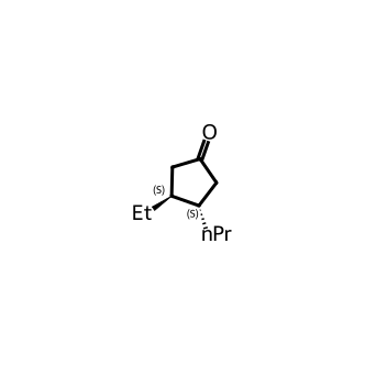 CCC[C@H]1CC(=O)C[C@@H]1CC